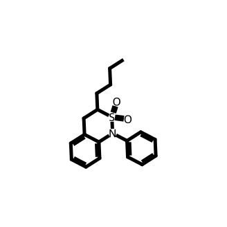 CCCCC1Cc2ccccc2N(c2ccccc2)S1(=O)=O